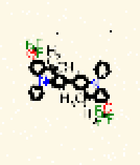 CC1(C)c2cc(OC(F)(F)F)ccc2N(c2ccccc2)c2ccc(-c3ccc4c(c3)C(C)(C)c3cc(OC(F)(F)F)ccc3N4c3ccccc3)cc21